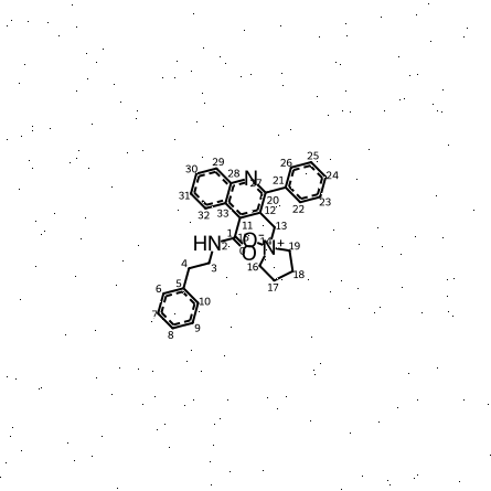 O=C(NCCc1ccccc1)c1c(C[N+]2([O-])CCCC2)c(-c2ccccc2)nc2ccccc12